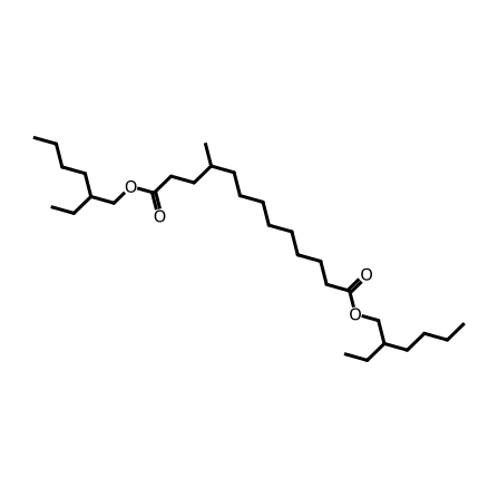 CCCCC(CC)COC(=O)CCCCCCCCC(C)CCC(=O)OCC(CC)CCCC